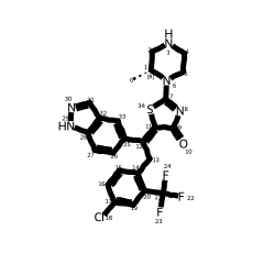 C[C@@H]1CNCCN1C1=NC(=O)C(=C(Cc2ccc(Cl)cc2C(F)(F)F)c2ccc3[nH]ncc3c2)S1